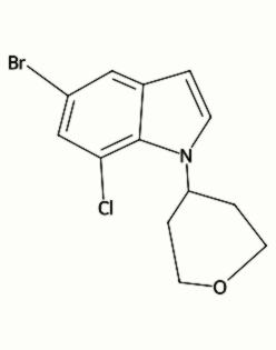 Clc1cc(Br)cc2ccn(C3CCOCC3)c12